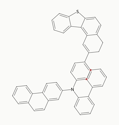 C1=C(c2ccc(N(c3ccc4c(ccc5ccccc54)c3)c3ccccc3-c3ccccc3)cc2)CCc2ccc3sc4ccccc4c3c21